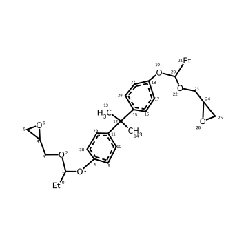 CCC(OCC1CO1)Oc1ccc(C(C)(C)c2ccc(OC(CC)OCC3CO3)cc2)cc1